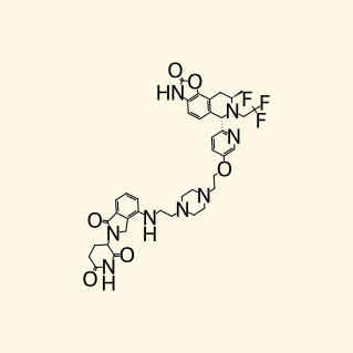 C[C@@H]1Cc2c(ccc3[nH]c(=O)oc23)[C@@H](c2ccc(OCCN3CCN(CCNc4cccc5c4CN(C4CCC(=O)NC4=O)C5=O)CC3)cn2)N1CC(F)(F)F